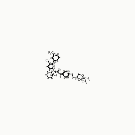 CC1(C)OC[C@H](COc2ncc(NC(=O)N3c4nc(-c5cccc(C(F)(F)F)c5)c(Cl)cc4N4CCC[C@H]3C4)cn2)O1